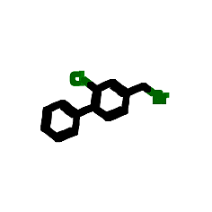 Clc1cc(CBr)ccc1-c1ccccc1